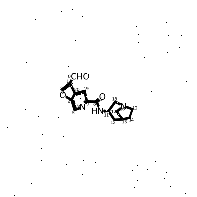 O=Cc1coc2cnc(C(=O)NC3CC4CCN(C4)C3)cc12